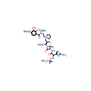 COc1ccc(C(=O)N(CC[N+]2(CC3=C(C(=O)[O-])N4C(=O)[C@@H](NC(=O)/C(=N\OC(C)(C)C(=O)O)c5csc(N)n5)[C@H]4SC3)CCCC2)OC)c(Cl)c1O